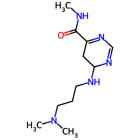 CNC(=O)C1=NC=NC(NCCCN(C)C)C1